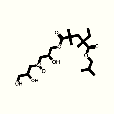 CCC(C)(CC(C)(C)C(=O)OCC(O)C[S+]([O-])CC(O)CO)C(=O)OCC(C)C